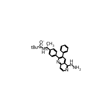 C[C@@H](N[S@+]([O-])C(C)(C)C)c1ccc(-c2nc3ccnc(NN)c3cc2-c2ccccc2)cc1